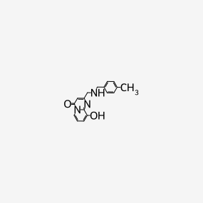 Cc1ccc(CNCc2cc(=O)n3cccc(O)c3n2)cc1